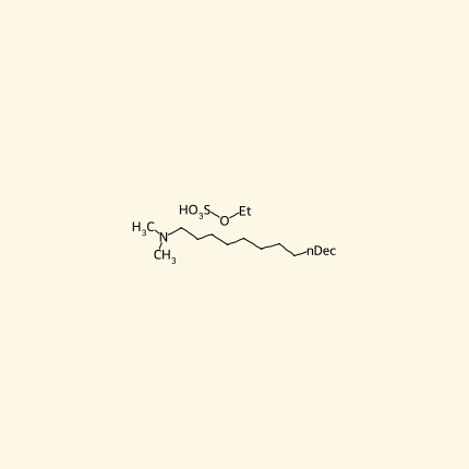 CCCCCCCCCCCCCCCCCCN(C)C.CCOS(=O)(=O)O